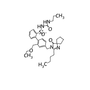 CCCCC1=NC2(CCCC2)C(=O)N1Cc1ccc(-c2ccccc2[S+]([O-])NC(=O)NCCC)c(COCC)c1